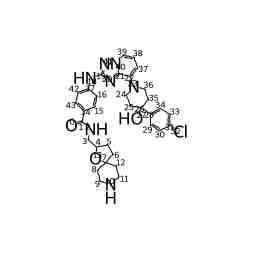 O=C(NCC1CCC2(CCNCC2)O1)c1ccc(Nc2nc3c(N4CCC(O)(c5ccc(Cl)cc5)CC4)cccn3n2)cc1